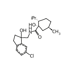 CC(C)[C@@H]1CC[C@@H](C)C[C@@]1(O)C(=O)NCC1(O)CCc2ccc(Cl)cc21